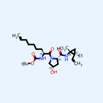 C=CCCCCC[C@H](NC(=O)OC(C)(C)C)C(=O)N1C[C@@H](O)C[C@H]1C(=O)N[C@]1(C(=O)O)C[C@]1(C=C)CC